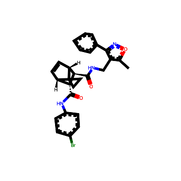 Cc1onc(-c2ccccc2)c1CNC(=O)[C@H]1[C@H](C(=O)Nc2ccc(Br)cc2)[C@@H]2C=C[C@H]1C21CC1